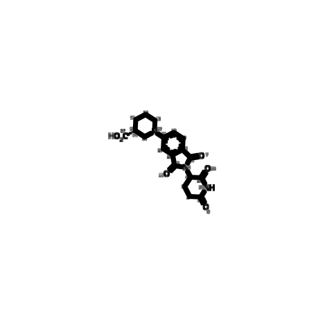 O=C1CCC(N2C(=O)c3ccc(N4CCC[C@@H](C(=O)O)C4)cc3C2=O)C(=O)N1